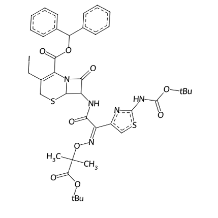 CC(C)(C)OC(=O)Nc1nc(/C(=N/OC(C)(C)C(=O)OC(C)(C)C)C(=O)NC2C(=O)N3C(C(=O)OC(c4ccccc4)c4ccccc4)=C(CI)CSC23)cs1